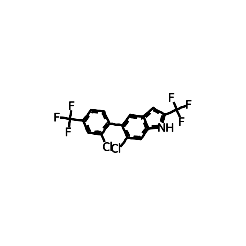 FC(F)(F)c1ccc(-c2cc3cc(C(F)(F)F)[nH]c3cc2Cl)c(Cl)c1